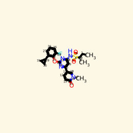 CC[C@H](C)S(=O)(=O)Nc1cc(-c2ccc(=O)n(C)c2)nc(Oc2c(F)cccc2C2CC2)n1